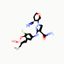 CC1=Cc2cc(Nc3nn(C4COCC[C@@H]4C#N)cc3C(N)=O)cc(F)c2OB1O